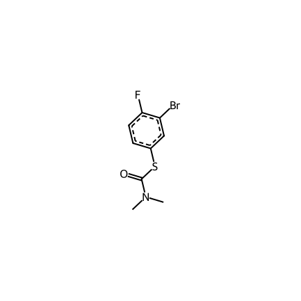 CN(C)C(=O)Sc1ccc(F)c(Br)c1